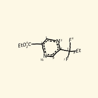 CCOC(=O)c1cnc(C(F)(F)CC)cn1